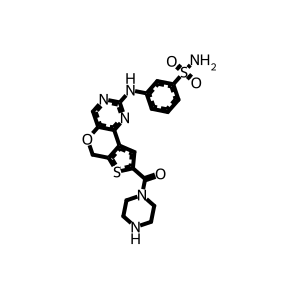 NS(=O)(=O)c1cccc(Nc2ncc3c(n2)-c2cc(C(=O)N4CCNCC4)sc2CO3)c1